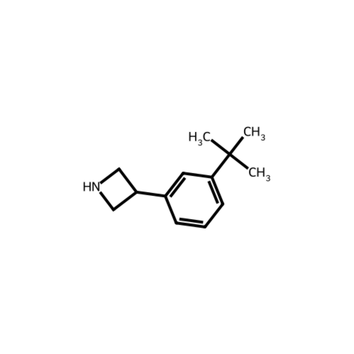 CC(C)(C)c1cccc(C2CNC2)c1